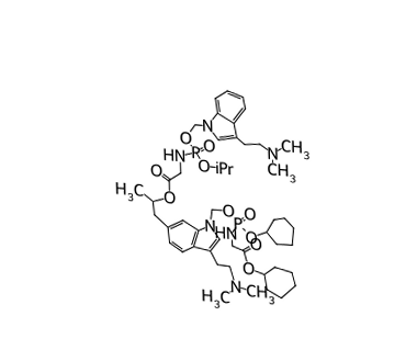 CC(C)OP(=O)(NCC(=O)OC(C)Cc1ccc2c(CCN(C)C)cn(COP(=O)(NCC(=O)OC3CCCCC3)OC3CCCCC3)c2c1)OCn1cc(CCN(C)C)c2ccccc21